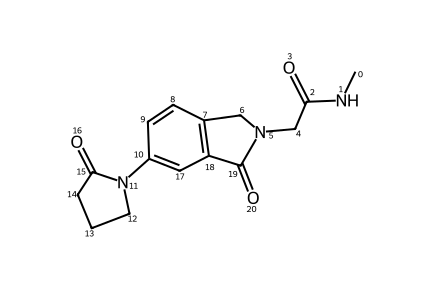 CNC(=O)CN1Cc2ccc(N3CCCC3=O)cc2C1=O